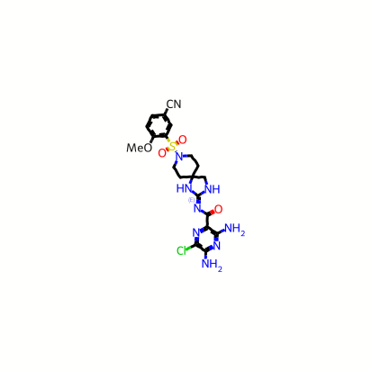 COc1ccc(C#N)cc1S(=O)(=O)N1CCC2(CC1)CN/C(=N\C(=O)c1nc(Cl)c(N)nc1N)N2